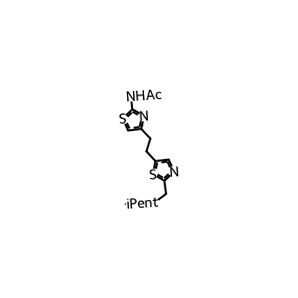 CCC[C](C)Cc1ncc(CCc2csc(NC(C)=O)n2)s1